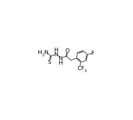 NC(=S)NNC(=O)Cc1ccc(F)cc1C(F)(F)F